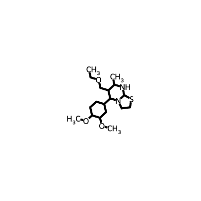 CCOCC1C(C)NC2SCCN2C1C1CCC(OC)C(OC)C1